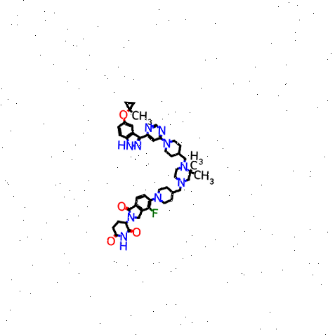 CC1(Oc2ccc3[nH]nc(-c4cc(N5CCC(CN6CCN(CC7CCN(c8ccc9c(c8F)CN(C8CCC(=O)NC8=O)C9=O)CC7)CC6(C)C)CC5)ncn4)c3c2)CC1